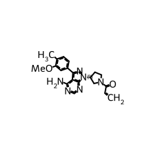 C=CC(=O)N1CC[C@@H](n2nc(-c3ccc(C)c(OC)c3)c3c(N)ncnc32)C1